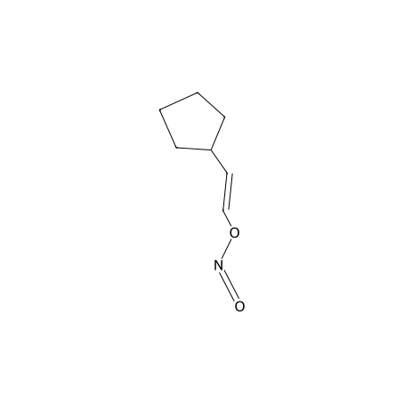 O=NO/C=C/C1CCCC1